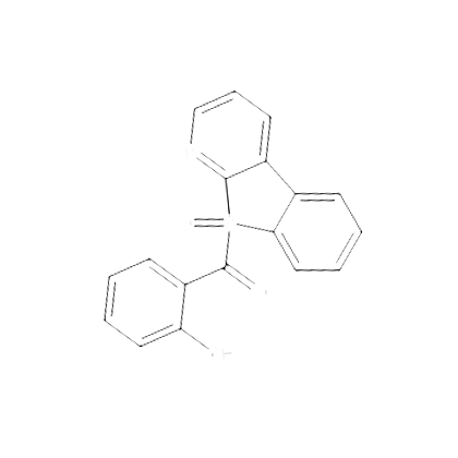 Cc1ccccc1C(=O)P1(=O)c2ccccc2-c2cccpc21